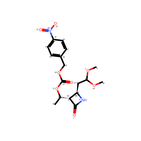 COC(C[C@H]1NC(=O)[C@@H]1C(C)OC(=O)OCc1ccc([N+](=O)[O-])cc1)OC